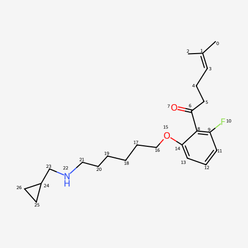 CC(C)=CCCC(=O)c1c(F)cccc1OCCCCCCNCC1CC1